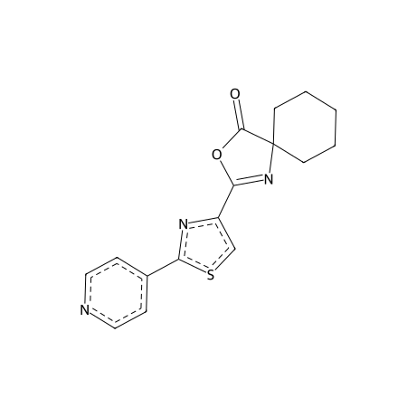 O=C1OC(c2csc(-c3ccncc3)n2)=NC12CCCCC2